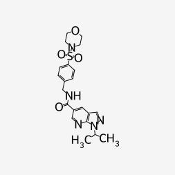 CC(C)n1ncc2cc(C(=O)NCc3ccc(S(=O)(=O)N4CCOCC4)cc3)cnc21